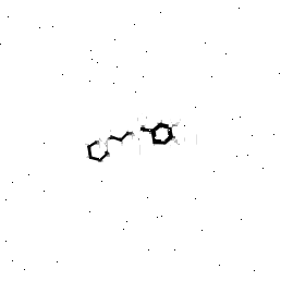 O=C(NCCCN1CCCCC1)c1ccc(O)c(O)c1